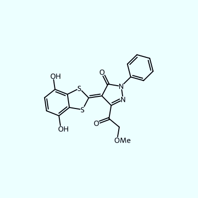 COCC(=O)C1=NN(c2ccccc2)C(=O)C1=C1Sc2c(O)ccc(O)c2S1